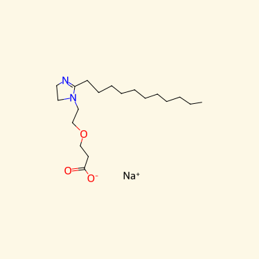 CCCCCCCCCCCC1=NCCN1CCOCCC(=O)[O-].[Na+]